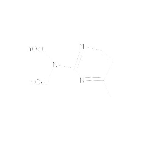 CCCCCCCCN(CCCCCCCC)c1nccc(C)n1